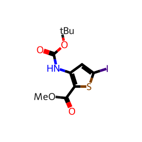 COC(=O)c1sc(I)cc1NC(=O)OC(C)(C)C